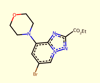 CCOC(=O)c1nc2c(N3CCOCC3)cc(Br)cn2n1